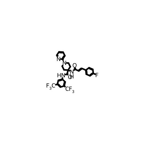 O=C(C=Cc1ccc(F)cc1)NC1(C(=O)Nc2cc(C(F)(F)F)cc(C(F)(F)F)c2)CCN(c2ccccn2)CC1